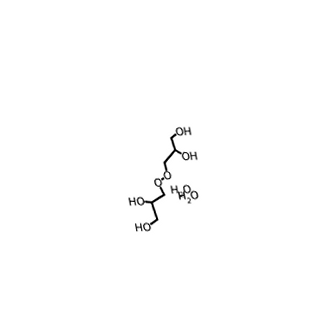 O.O.OCC(O)COOCC(O)CO